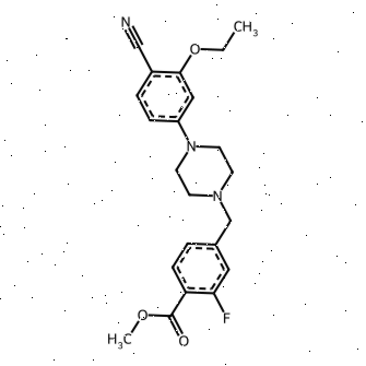 CCOc1cc(N2CCN(Cc3ccc(C(=O)OC)c(F)c3)CC2)ccc1C#N